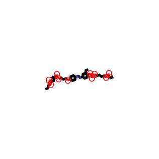 C=CC(=O)OCCCCOC(=O)Oc1ccc(/C=C/c2ccc(OCCCOC(=O)C(=C)CC(=O)OCCC)cc2)cc1CC